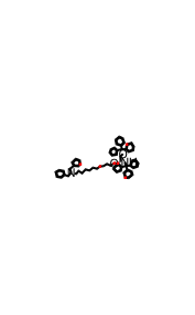 c1ccc(CN(CCCCCCCCCCCOC[C@H](COC(c2ccccc2)(c2ccccc2)c2ccccc2)NC(c2ccccc2)(c2ccccc2)c2ccccc2)Cc2ccccc2)cc1